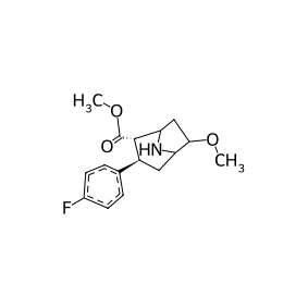 COC(=O)[C@@H]1C2CC(OC)C(C[C@H]1c1ccc(F)cc1)N2